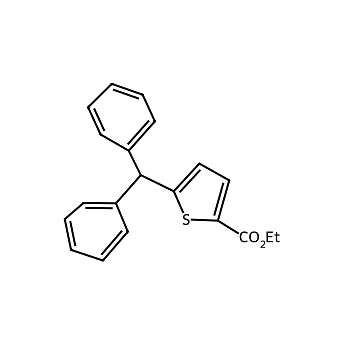 CCOC(=O)c1ccc(C(c2ccccc2)c2ccccc2)s1